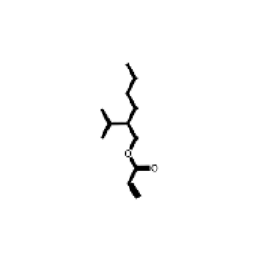 C=CC(=O)OCC(CCCC)C(C)C